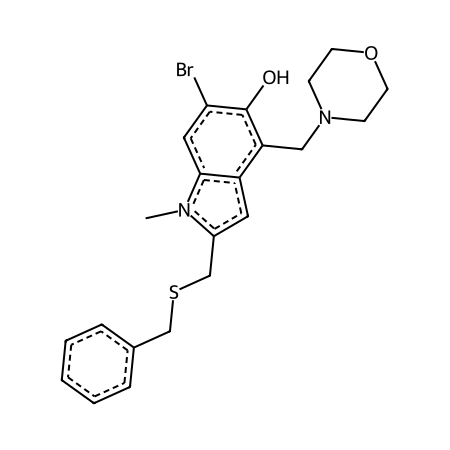 Cn1c(CSCc2ccccc2)cc2c(CN3CCOCC3)c(O)c(Br)cc21